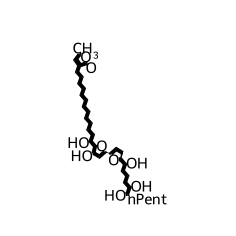 CCCCC[C@H](O)[C@@H](O)CCC[C@@H](O)[C@@H]1CC[C@@H](C2CC(O)[C@@H]([C@@H](O)CCCCCCCCCCCCC3=CC(C)OC3=O)O2)O1